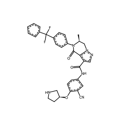 C[C@H]1Cn2ncc(C(=O)Nc3ccc(O[C@H]4CCNC4)c(C#N)c3)c2C(=O)N1c1ccc(C(F)(F)c2ccccc2)cc1